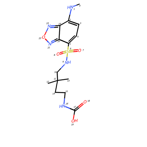 CNc1ccc(S(=O)(=O)NCC(C)(C)CCNC(=O)O)c2nonc12